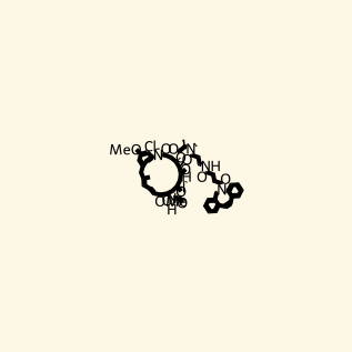 COc1cc2cc(c1Cl)N(C)C(=O)C[C@H](OC(=O)[C@@H](C)N(C)C(=O)CCNC(=O)CCC(=O)N1Cc3ccccc3C#Cc3ccccc31)[C@]1(C)O[C@H]1[C@H](C)[C@@H]1C[C@@](O)(NC(=O)O1)[C@H](OC)/C=C/C=C(\C)C2